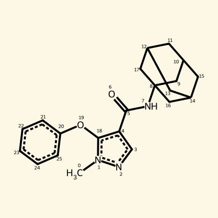 Cn1ncc(C(=O)NC23CC4CC(CC(C4)C2)C3)c1Oc1ccccc1